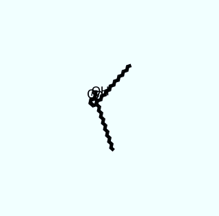 CCCCCCCCCCCCCCCc1cccc(S(=O)(=O)O)c1CCCCCCCCCCCCCCC